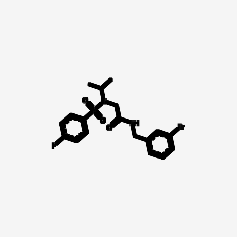 CC(C)N(CC(=O)NCc1cccc(Br)c1)S(=O)(=O)c1ccc(F)cc1